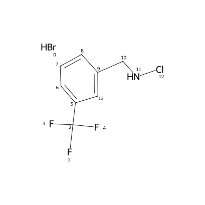 Br.FC(F)(F)c1cccc(CNCl)c1